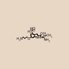 CNC(N)=NC(=O)c1cc2c(C)cc(OCCCN)cc2[nH]1.Cl.Cl